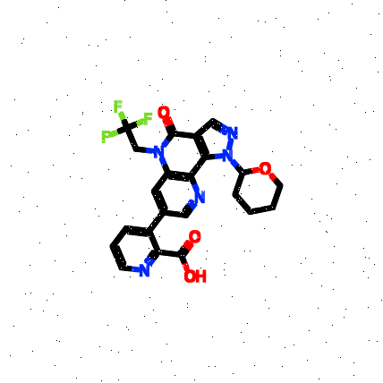 O=C(O)c1ncccc1-c1cnc2c3c(cnn3C3CCCCO3)c(=O)n(CC(F)(F)F)c2c1